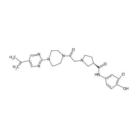 C=C(C)c1cnc(N2CCN(C(=O)CN3CC[C@@H](C(=O)Nc4ccc(O)c(Cl)c4)C3)CC2)nc1